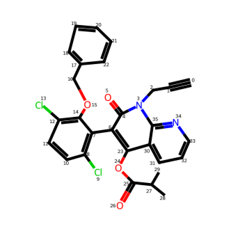 C#CCn1c(=O)c(-c2c(Cl)ccc(Cl)c2OCc2ccccc2)c(OC(=O)C(C)C)c2cccnc21